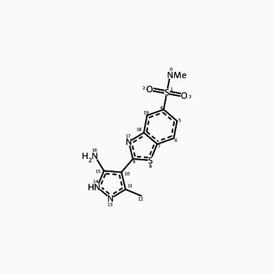 CNS(=O)(=O)c1ccc2sc(-c3c(C)n[nH]c3N)nc2c1